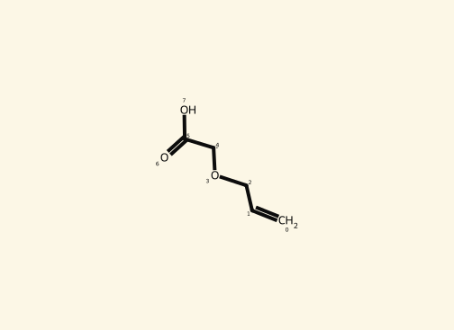 C=CCO[CH]C(=O)O